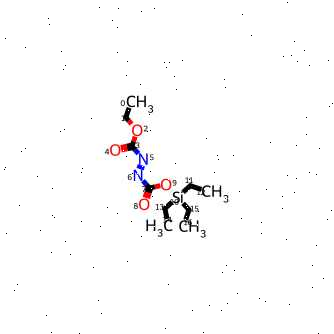 CCOC(=O)/N=N/C(=O)O[Si](CC)(CC)CC